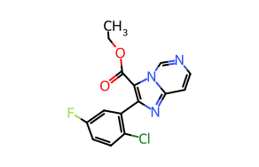 CCOC(=O)c1c(-c2cc(F)ccc2Cl)nc2ccncn12